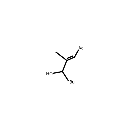 CCC(C)C(O)C(C)=CC(C)=O